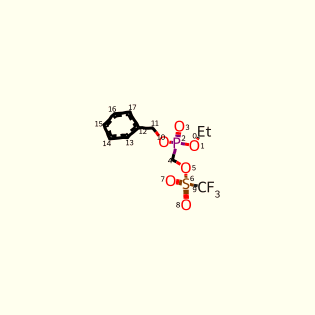 CCOP(=O)(COS(=O)(=O)C(F)(F)F)OCc1ccccc1